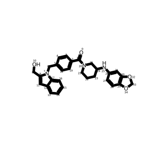 O=C(c1ccc(Cn2c(CO)cc3ccccc32)cc1)N1CCCC(Nc2ccc3c(c2)OCO3)C1